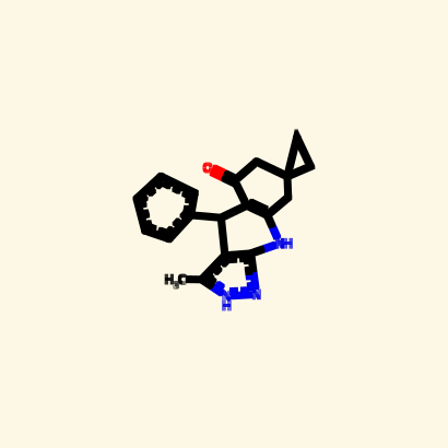 Cc1[nH]nc2c1C(c1ccccc1)C1=C(CC3(CC3)CC1=O)N2